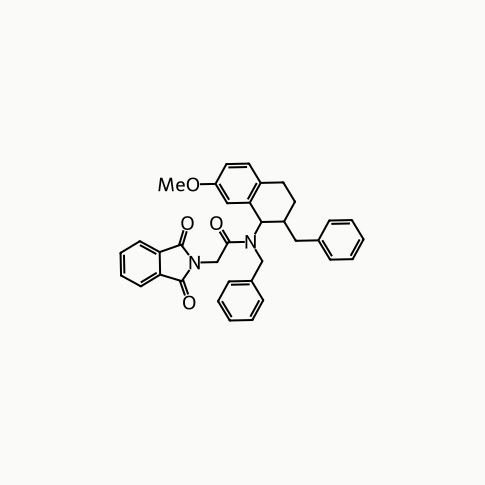 COc1ccc2c(c1)C(N(Cc1ccccc1)C(=O)CN1C(=O)c3ccccc3C1=O)C(Cc1ccccc1)CC2